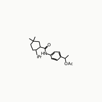 CC(=O)OC(C)c1ccc(NC(=O)C2CC(C)(C)CCC2C(C)C)cc1